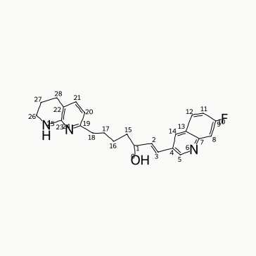 OC(C=Cc1cnc2cc(F)ccc2c1)CCCCc1ccc2c(n1)NCCC2